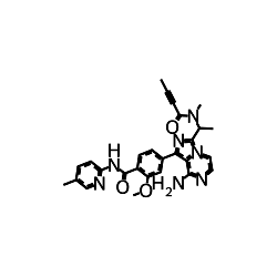 CC#CC(=O)N(C)C(C)c1nc(-c2ccc(C(=O)Nc3ccc(C)cn3)c(OC)c2)c2c(N)nccn12